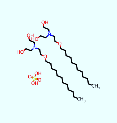 CCCCCCCCCCCCOCCN(CCO)CCO.CCCCCCCCCCCCOCCN(CCO)CCO.O=S(=O)(O)O